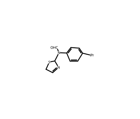 CC(C)c1ccc(N(C=O)C2N=CCS2)cc1